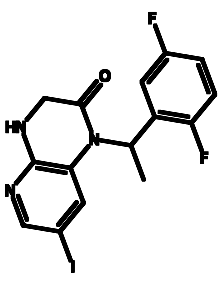 CC(c1cc(F)ccc1F)N1C(=O)CNc2ncc(I)cc21